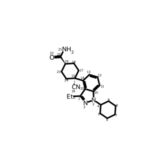 CCc1nn(C2CCCCC2)c2cccc([C@]3(C#N)CC[C@H](C(N)=O)CC3)c12